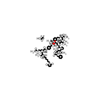 CC[C@H](C)[C@@H]([C@@H](CC(=O)N1CCC[C@H]1[C@H](OC)[C@@H](C)C(=O)N[C@@H](Cc1ccccc1)C(=O)O)OC)N(C)C(=O)[C@@H](NC(=O)[C@H](C(C)C)N(C)CCc1ccc(N(C)C(=O)OCc2ccc(NC(=O)[C@H](CCCNC(N)=O)NC(=O)[C@@H](NC(=O)CCCCCN3C(=O)C=CC3=O)C(C)C)cc2)cc1)C(C)C.O=C(O)C(F)(F)F